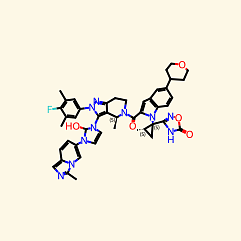 Cc1cc(-n2nc3c(c2N2C=CN(c4ccc5cnc(C)n5c4)C2O)[C@H](C)N(C(=O)c2cc4cc(C5CCOCC5)ccc4n2[C@@]2(c4noc(=O)[nH]4)C[C@@H]2C)CC3)cc(C)c1F